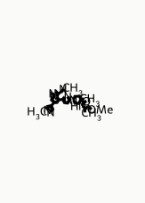 CN=Cc1cnn2cc(-c3cnn(C)c3)cc(-c3ccc(N4CCC(C)(C(=O)NC(C)COC)CC4)nc3)c12